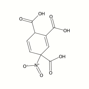 O=C(O)C1=CC(C(=O)O)([N+](=O)[O-])C=CC1C(=O)O